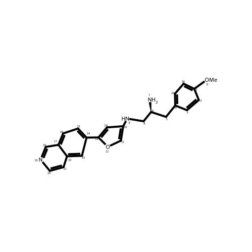 COc1ccc(C[C@H](N)CNc2coc(-c3ccc4cnccc4c3)c2)cc1